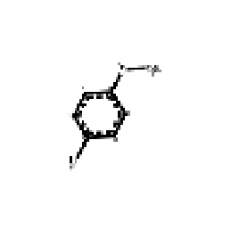 [Li][c]1ccc(SC(C)(C)C)cc1